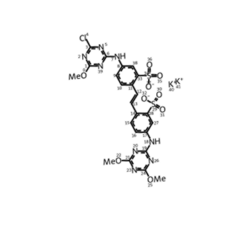 COc1nc(Cl)nc(Nc2ccc(C=Cc3ccc(Nc4nc(OC)nc(OC)n4)cc3S(=O)(=O)[O-])c(S(=O)(=O)[O-])c2)n1.[K+].[K+]